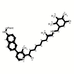 CCCCCNc1ccc2cc(-c3ccnc(C(CC)CCCCCC/C(N)=C/NCC4CC(CC)C(C)C(C)C4C)c3C)ccc2c1